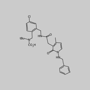 Cc1ccn(NCc2ccccc2)c(=O)c1CC(=O)NCc1cc(Cl)ccc1CN(C(=O)O)C(C)(C)C